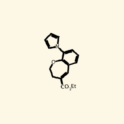 CCOC(=O)C1=Cc2cccc(-n3cccc3)c2OCC1